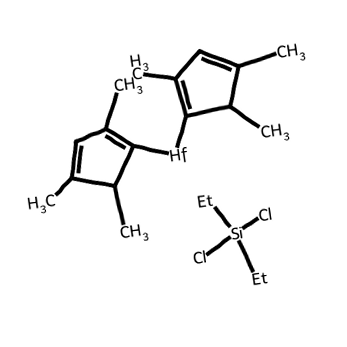 CC1=CC(C)=[C]([Hf][C]2=C(C)C=C(C)C2C)C1C.CC[Si](Cl)(Cl)CC